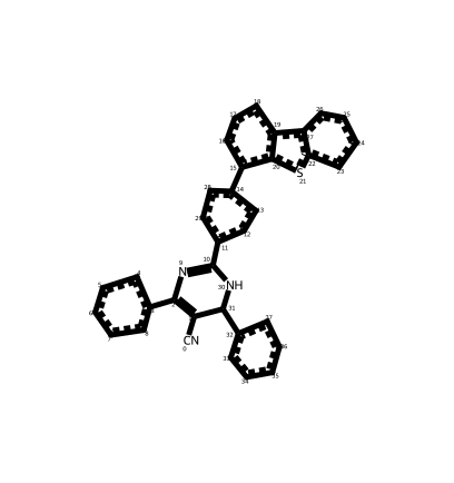 N#CC1=C(c2ccccc2)N=C(c2ccc(-c3cccc4c3sc3ccccc34)cc2)NC1c1ccccc1